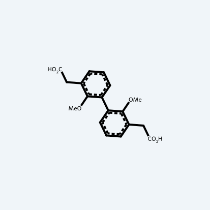 COc1c(CC(=O)O)cccc1-c1cccc(CC(=O)O)c1OC